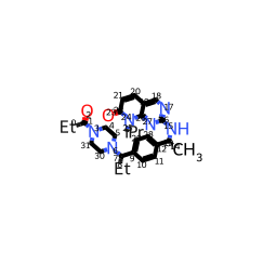 CCC(=O)N1CCN(C(CC)c2ccc([C@H](C)Nc3ncc4ccc(=O)n(C(C)C)c4n3)cc2)CC1